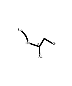 CCCCCN[C@@H](CS)C(C)=O